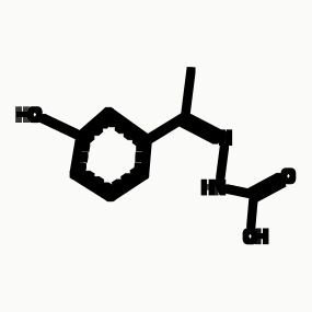 C/C(=N/NC(=O)O)c1cccc(O)c1